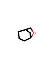 C1CC2COC(C1)C2